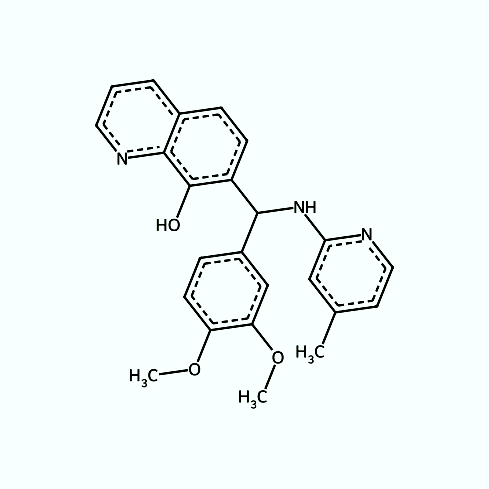 COc1ccc(C(Nc2cc(C)ccn2)c2ccc3cccnc3c2O)cc1OC